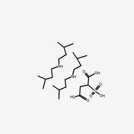 CC(C)CCNCCC(C)C.CC(C)CCNCCC(C)C.O=C(O)CC(C(=O)O)S(=O)(=O)O